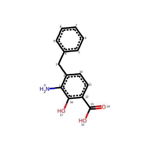 Nc1c(Cc2ccccc2)ccc(C(=O)O)c1O